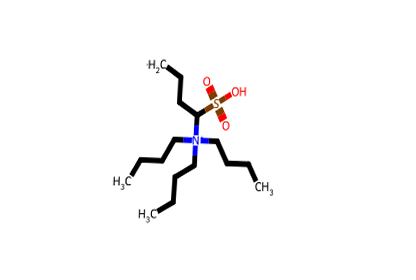 [CH2]CCC([N+](CCCC)(CCCC)CCCC)S(=O)(=O)O